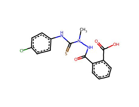 CN(NC(=O)c1ccccc1C(=O)O)C(=S)Nc1ccc(Cl)cc1